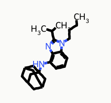 CCCCn1c(C(C)C)nc2c(NC34CC5CC(CC(C5)C3)C4)cccc21